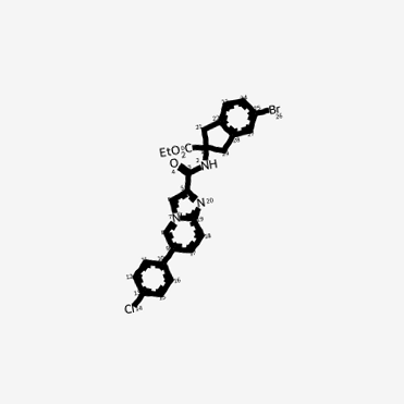 CCOC(=O)C1(NC(=O)c2cn3cc(-c4ccc(Cl)cc4)ccc3n2)Cc2ccc(Br)cc2C1